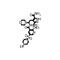 CCCc1n[nH]c(C(N)=O)c1CC(NC(=O)c1cc(S(=O)(=O)N2CCN(CC)CC2)cnc1OCC)N1CCOCC1